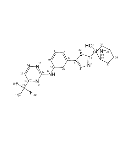 OC1(c2ncc(-c3cccc(Nc4nccc(C(F)(F)F)n4)c3)s2)CC2CCC1N2